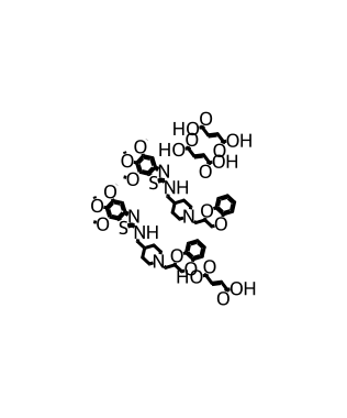 COc1cc2nc(NCC3CCN(CC4COc5ccccc5O4)CC3)sc2c(OC)c1OC.COc1cc2nc(NCC3CCN(CC4COc5ccccc5O4)CC3)sc2c(OC)c1OC.O=C(O)C=CC(=O)O.O=C(O)C=CC(=O)O.O=C(O)C=CC(=O)O